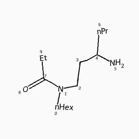 CCCCCCN(CCC(N)CCC)C(=O)CC